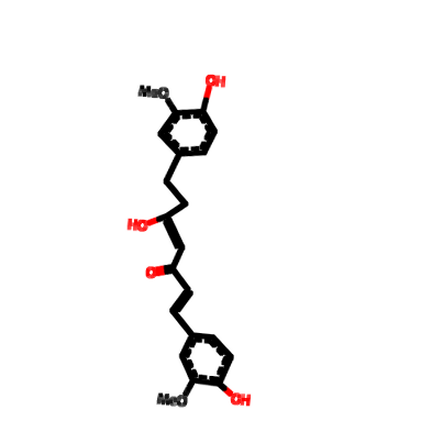 COc1cc(/C=C/C(=O)/C=C(\O)CCc2ccc(O)c(OC)c2)ccc1O